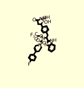 O=C1CC(c2ccc(CC(c3nc4ccccc4[nH]3)N(OC(=O)C(F)(F)F)S(=O)(=O)N3CC=C(c4ccc(F)cc4)CC3)cc2)S(O)(O)N1